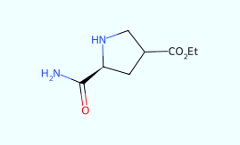 CCOC(=O)C1CN[C@H](C(N)=O)C1